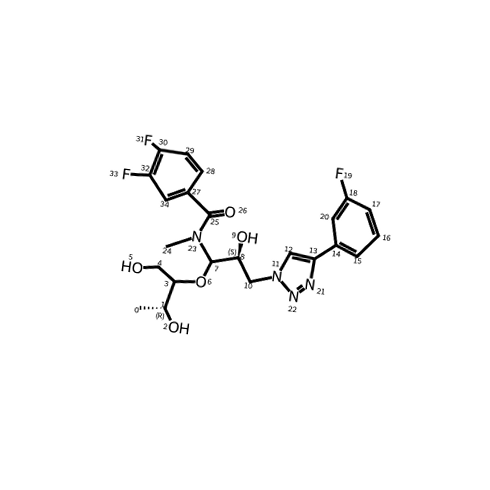 C[C@@H](O)C(CO)OC([C@@H](O)Cn1cc(-c2cccc(F)c2)nn1)N(C)C(=O)c1ccc(F)c(F)c1